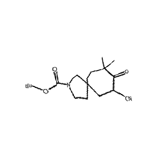 CC(C)(C)OC(=O)N1CCC2(CC(C#N)C(=O)C(C)(C)C2)C1